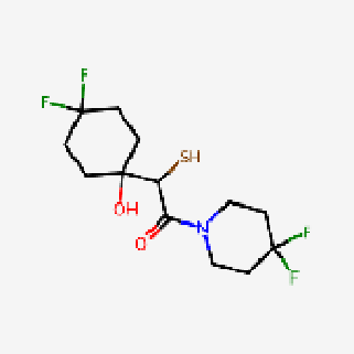 O=C(C(S)C1(O)CCC(F)(F)CC1)N1CCC(F)(F)CC1